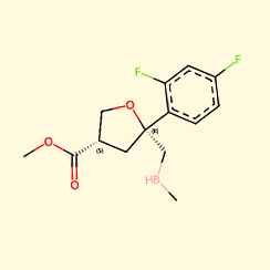 CBC[C@]1(c2ccc(F)cc2F)C[C@H](C(=O)OC)CO1